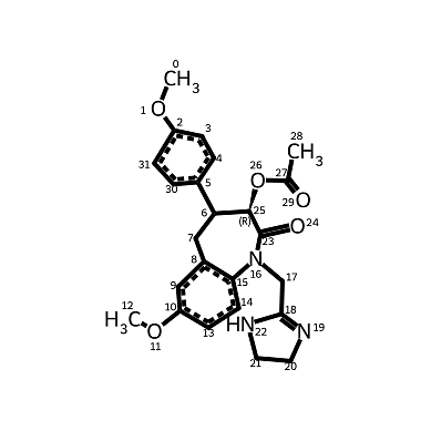 COc1ccc(C2Cc3cc(OC)ccc3N(CC3=NCCN3)C(=O)[C@@H]2OC(C)=O)cc1